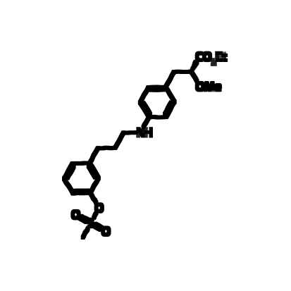 CCOC(=O)[C@H](Cc1ccc(NCCCc2cccc(OS(C)(=O)=O)c2)cc1)OC